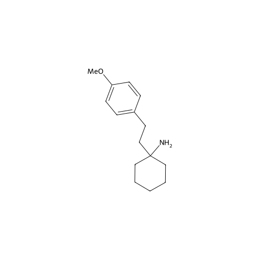 COc1ccc(CCC2(N)CCCCC2)cc1